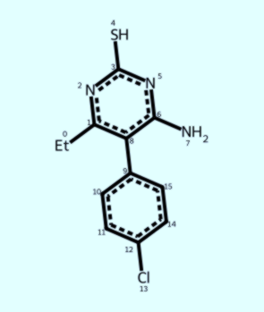 CCc1nc(S)nc(N)c1-c1ccc(Cl)cc1